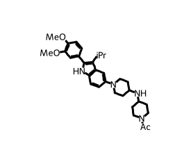 COc1ccc(-c2[nH]c3ccc(N4CCC(NC5CCN(C(C)=O)CC5)CC4)cc3c2C(C)C)cc1OC